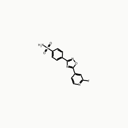 NS(=O)(=O)c1ccc(-c2noc(-c3ccnc(F)c3)n2)cc1